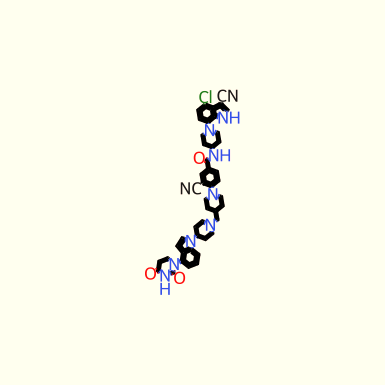 N#Cc1cc(C(=O)NC2CCN(c3ccc(Cl)c4c(C#N)c[nH]c34)CC2)ccc1N1CCC(CN2CCC(n3ccc4c(N5CCC(=O)NC5=O)cccc43)CC2)CC1